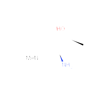 CNC[C@H](N)[C@H](C)O